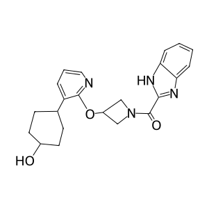 O=C(c1nc2ccccc2[nH]1)N1CC(Oc2ncccc2C2CCC(O)CC2)C1